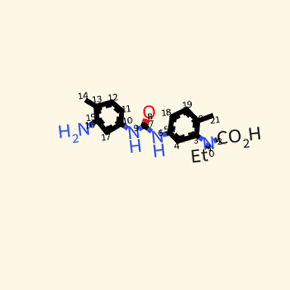 CCN(C(=O)O)c1cc(NC(=O)Nc2ccc(C)c(N)c2)ccc1C